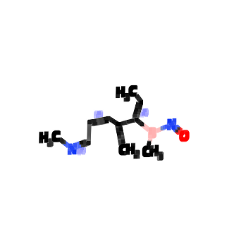 C=C(/C=C\C=N/C)/C(=C\C)B(C)N=O